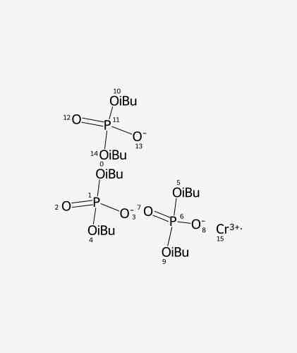 CC(C)COP(=O)([O-])OCC(C)C.CC(C)COP(=O)([O-])OCC(C)C.CC(C)COP(=O)([O-])OCC(C)C.[Cr+3]